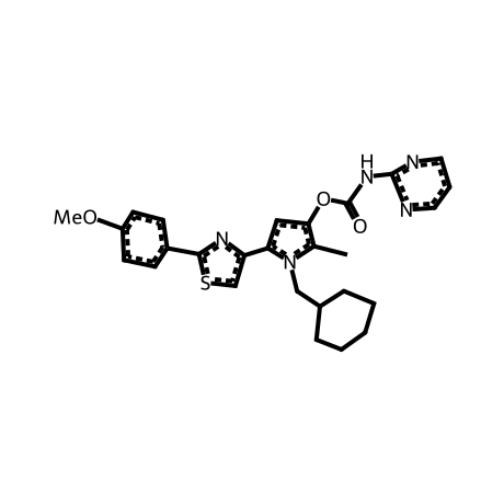 COc1ccc(-c2nc(-c3cc(OC(=O)Nc4ncccn4)c(C)n3CC3CCCCC3)cs2)cc1